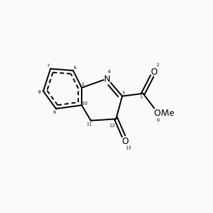 COC(=O)C1=Nc2ccccc2CC1=O